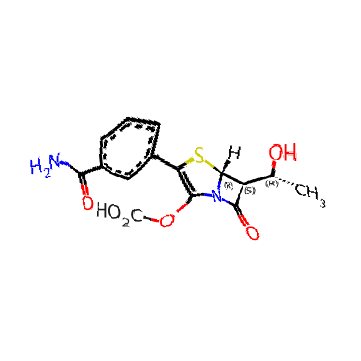 C[C@@H](O)[C@H]1C(=O)N2C(OC(=O)O)=C(c3cccc(C(N)=O)c3)S[C@H]12